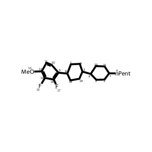 CCCCCC1CCC(C2CCC(c3ccc(OC)c(F)c3F)CC2)CC1